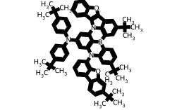 CC(C)(C)c1ccc(N(c2ccc(C(C)(C)C)cc2)c2cc3c4c(c2)-n2c5c(cc(C(C)(C)C)cc5c5oc6ccccc6c52)B4c2ccc(C(C)(C)C)cc2N3c2cccc3c2oc2cc(C(C)(C)C)ccc23)cc1